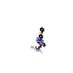 CN(C)C/C=C/C(=O)N1CCC[C@H]1c1nc(-c2ccc(OCc3ccccc3)cc2)c2c(N)nccn12